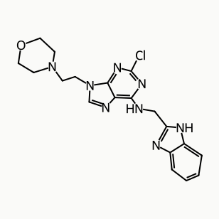 Clc1nc(NCc2nc3ccccc3[nH]2)c2ncn(CCN3CCOCC3)c2n1